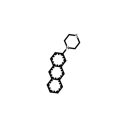 [c]1c(N2CCSCC2)ccc2cc3ccccc3cc12